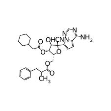 C[C@@H](Cc1ccccc1)C(=O)OC[C@H]1O[C@@](C#N)(c2ccc3c(N)ncnn23)[C@H](O)[C@@H]1OC(=O)CC1CCCCC1